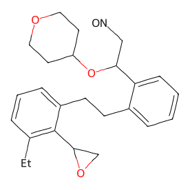 CCc1cccc(CCc2ccccc2C(CN=O)OC2CCOCC2)c1C1CO1